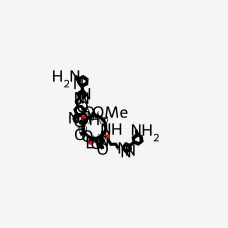 CC[C@H]1OC(=O)[C@H](C)C(=O)[C@H](C)[C@@H](O[C@@H]2OC(Cn3cc(-c4cccc(N)n4)nn3)CC(N(C)C)C2O)[C@](C)(OC)C[C@@H](C)CN[C@H](C)[C@H]2N(CCCCn3cc(-c4cccc(N)c4)nn3)C(=O)O[C@]12C